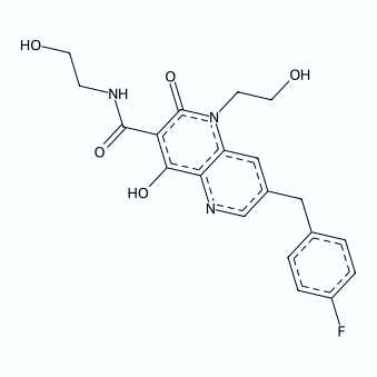 O=C(NCCO)c1c(O)c2ncc(Cc3ccc(F)cc3)cc2n(CCO)c1=O